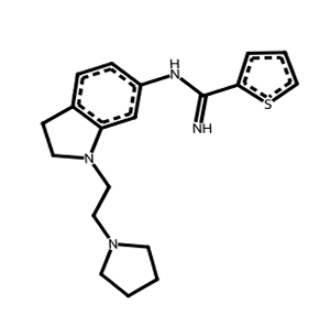 N=C(Nc1ccc2c(c1)N(CCN1CCCC1)CC2)c1cccs1